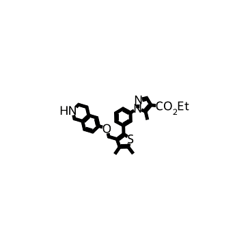 CCOC(=O)c1cnn(-c2cccc(-c3sc(C)c(C)c3COc3ccc4c(c3)CCNC4)c2)c1C